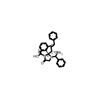 CC(c1ccccc1)N1CC(=O)N(C(=O)O)[C@]1(c1c(Cl)cccc1Cl)[C@@H](O)CCc1ccccc1